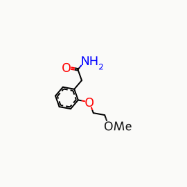 COCCOc1ccccc1CC(N)=O